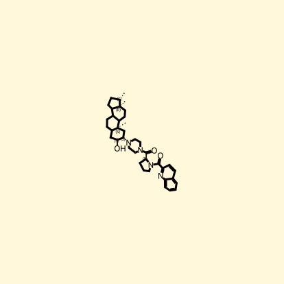 C[C@H]1CCC2C3CCC4C[C@H](O)[C@@H](N5CCN(C(=O)[C@@H]6CCCN6C(=O)c6ccc7ccccc7n6)CC5)C[C@]4(C)C3CC[C@@]21C